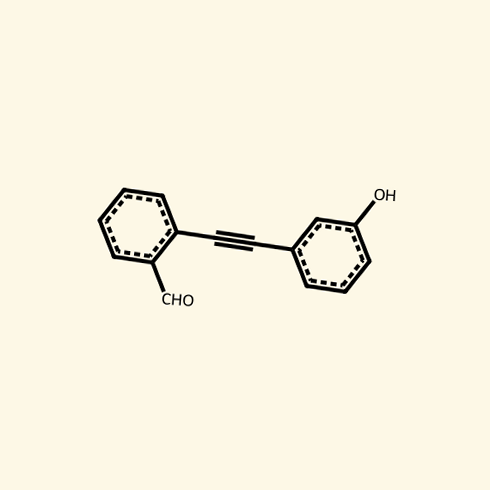 O=Cc1ccccc1C#Cc1cccc(O)c1